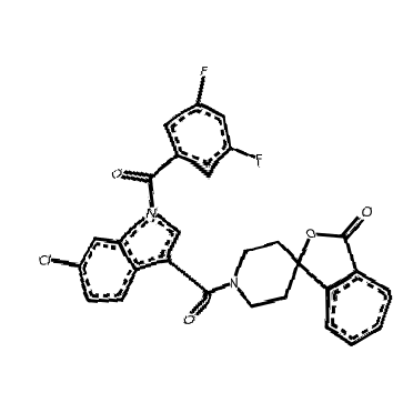 O=C1OC2(CCN(C(=O)c3cn(C(=O)c4cc(F)cc(F)c4)c4cc(Cl)ccc34)CC2)c2ccccc21